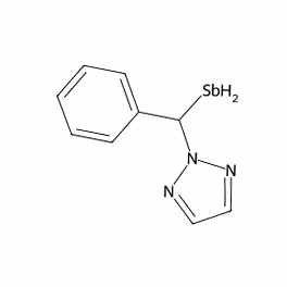 [SbH2][CH](c1ccccc1)n1nccn1